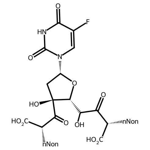 CCCCCCCCC[C@H](C(=O)O)C(=O)C(O)[C@H]1O[C@@H](n2cc(F)c(=O)[nH]c2=O)C[C@@]1(O)C(=O)[C@H](CCCCCCCCC)C(=O)O